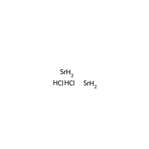 Cl.Cl.[SrH2].[SrH2]